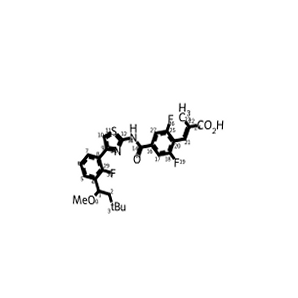 COC(CC(C)(C)C)c1cccc(-c2csc(NC(=O)c3cc(F)c(C=C(C)C(=O)O)c(F)c3)n2)c1F